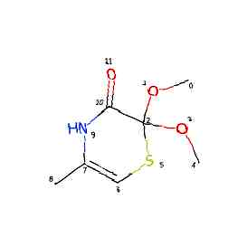 COC1(OC)SC=C(C)NC1=O